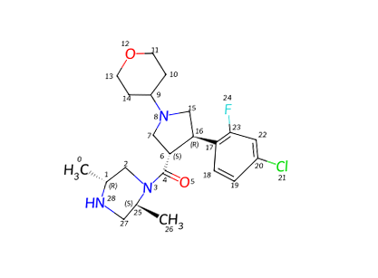 C[C@@H]1CN(C(=O)[C@@H]2CN(C3CCOCC3)C[C@H]2c2ccc(Cl)cc2F)[C@@H](C)CN1